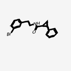 O=C(NCCc1cc[c]c(Br)c1)C1CC1c1ccccc1